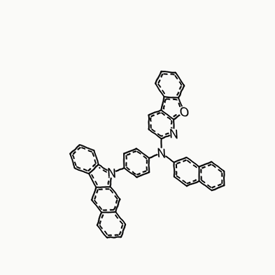 c1ccc2cc(N(c3ccc(-n4c5ccccc5c5cc6ccccc6cc54)cc3)c3ccc4c(n3)oc3ccccc34)ccc2c1